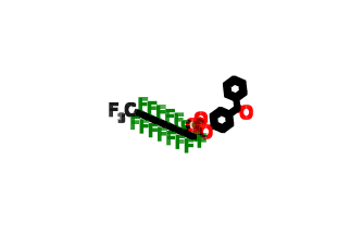 O=C(c1ccccc1)c1ccc(OS(=O)(=O)C(F)(F)C(F)(F)C(F)(F)C(F)(F)C(F)(F)C(F)(F)C(F)(F)C(F)(F)F)cc1